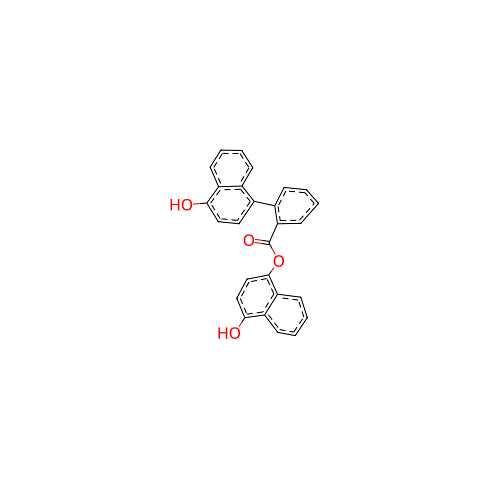 O=C(Oc1ccc(O)c2ccccc12)c1ccccc1-c1ccc(O)c2ccccc12